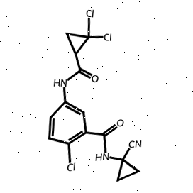 N#CC1(NC(=O)c2cc(NC(=O)C3CC3(Cl)Cl)ccc2Cl)CC1